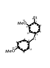 CCc1ccc([I+]c2ccc(OC)cc2)cc1OC